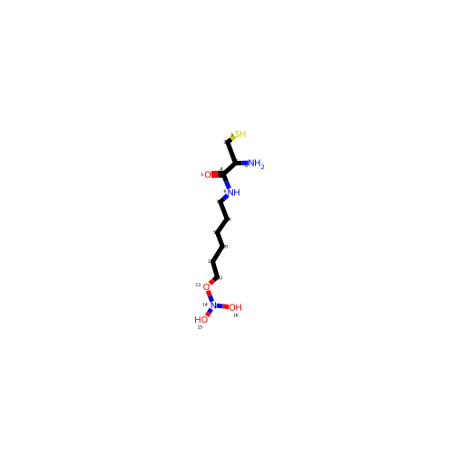 NC(CS)C(=O)NCCCCCCON(O)O